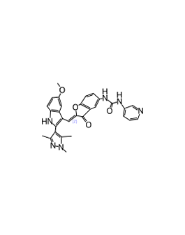 COc1ccc2[nH]c(-c3c(C)nn(C)c3C)c(/C=C3\Oc4ccc(NC(=O)Nc5cccnc5)cc4C3=O)c2c1